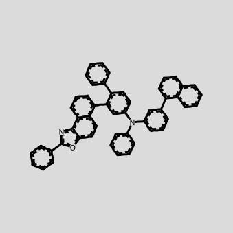 c1ccc(-c2nc3c(ccc4c(-c5cc(N(c6ccccc6)c6cccc(-c7cccc8ccccc78)c6)ccc5-c5ccccc5)cccc43)o2)cc1